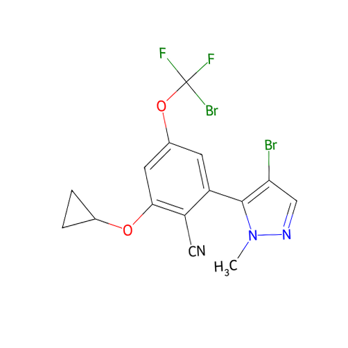 Cn1ncc(Br)c1-c1cc(OC(F)(F)Br)cc(OC2CC2)c1C#N